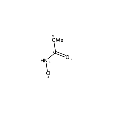 COC(=O)NCl